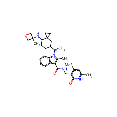 CSc1cc(C)[nH]c(=O)c1CNC(=O)c1c(C)n([C@H](C)C2CCC(NC3(C)COC3)C3(CC3)C2)c2ccccc12